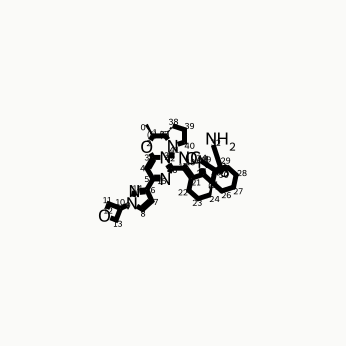 C[C@H](Oc1cc(-c2ccn(C3COC3)n2)nc(-c2onc3c2CCC[C@@]32CCCc3sc(N)c(C#N)c32)n1)[C@@H]1CCCN1C